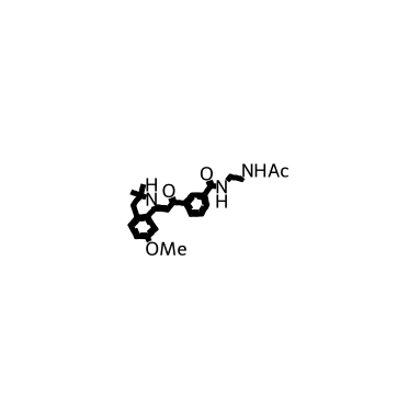 COc1ccc2c(c1)C(=CC(=O)c1cccc(C(=O)NCCNC(C)=O)c1)NC(C)(C)C2